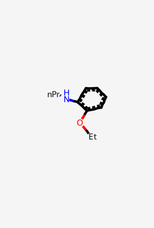 CCCNc1ccccc1OCC